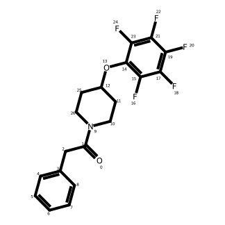 O=C(Cc1ccccc1)N1CCC(Oc2c(F)c(F)c(F)c(F)c2F)CC1